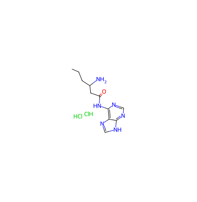 CCCC(N)CC(=O)Nc1ncnc2[nH]cnc12.Cl.Cl